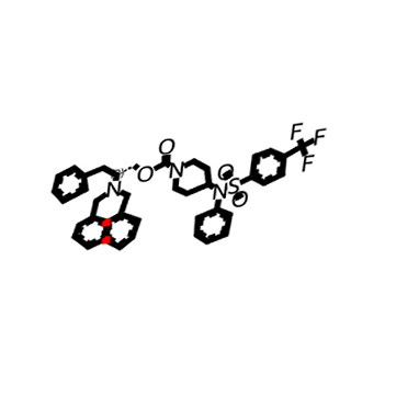 O=C(OC[C@@H](Cc1ccccc1)N(Cc1ccccc1)Cc1ccccc1)N1CCC(N(c2ccccc2)S(=O)(=O)c2ccc(C(F)(F)F)cc2)CC1